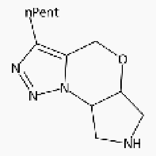 CCCCCc1nnn2c1COC1CNCC12